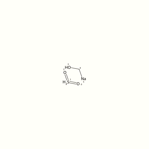 O=[SH2]=O.O[CH2][Na]